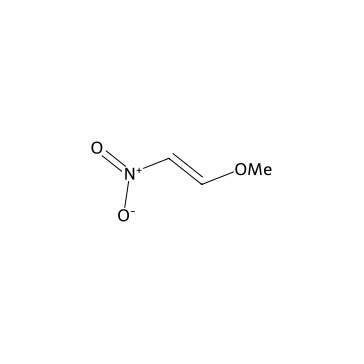 COC=C[N+](=O)[O-]